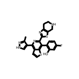 Cc1n[nH]cc1-c1nc(-c2nc3c(s2)CNCC3)c(-c2ccc(F)cc2O)c2sccc12